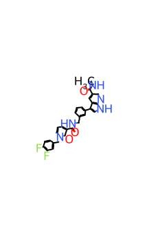 CNC(=O)c1cnc2[nH]cc(-c3cccc(CNC(=O)c4cccn(Cc5ccc(F)c(F)c5)c4=O)c3)c2c1